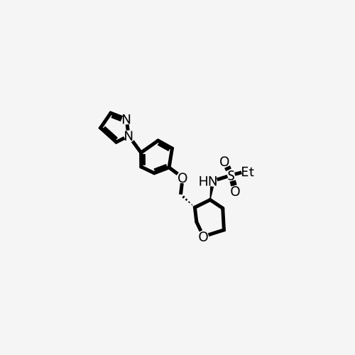 CCS(=O)(=O)N[C@H]1CCOC[C@@H]1COc1ccc(-n2cccn2)cc1